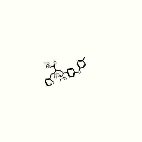 Cc1ccc(Oc2ccc(N(CC(NCc3ccccn3)C(=O)NO)S(C)(=O)=O)cc2)cc1